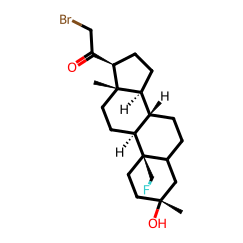 C[C@@]1(O)CC[C@@]2(CF)C(CC[C@@H]3[C@@H]2CC[C@]2(C)[C@@H](C(=O)CBr)CC[C@@H]32)C1